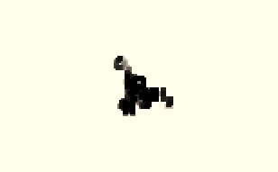 CC1=C(C(N)=O)SC(N2CCN(CCCc3ccccc3)C2=O)N1Cc1cccnc1